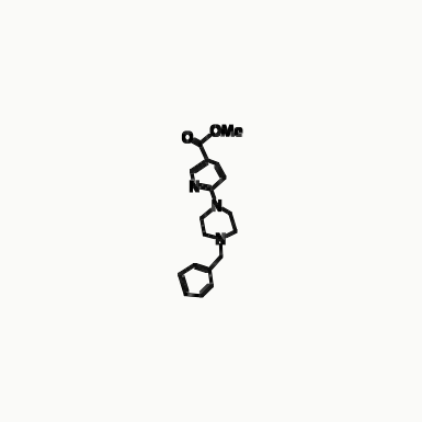 COC(=O)c1ccc(N2CCN(Cc3ccccc3)CC2)nc1